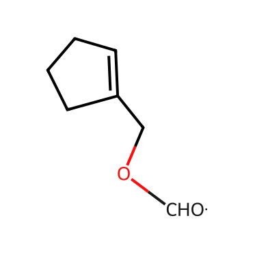 O=[C]OCC1=CCCC1